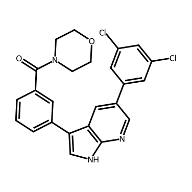 O=C(c1cccc(-c2c[nH]c3ncc(-c4cc(Cl)cc(Cl)c4)cc23)c1)N1CCOCC1